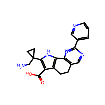 NCC1(c2[nH]c3c(c2C(=O)O)CCc2cnc(-c4cccnc4)nc2-3)CC1